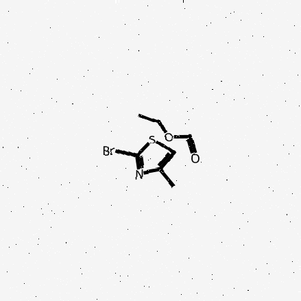 CCOC=O.Cc1csc(Br)n1